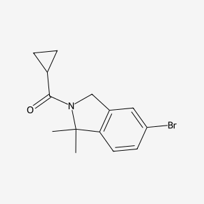 CC1(C)c2ccc(Br)cc2CN1C(=O)C1CC1